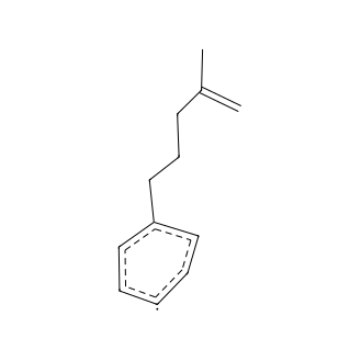 C=C(C)CCCc1cc[c]cc1